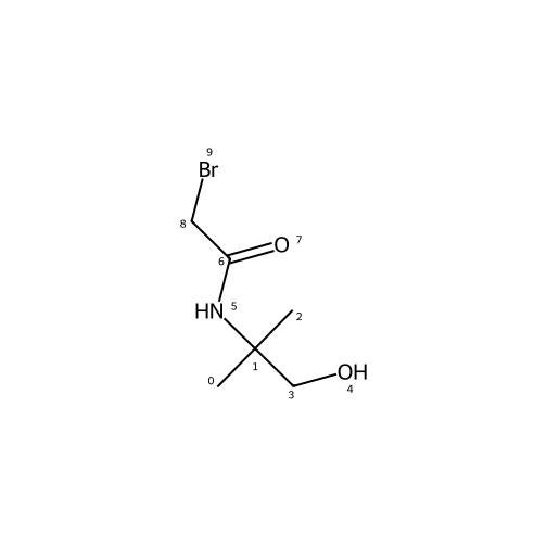 CC(C)(CO)NC(=O)CBr